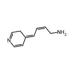 NC/C=C\C=C1\C=CN=CC1